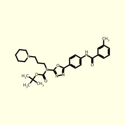 Cc1cccc(C(=O)Nc2ccc(-c3nnc(N(CCCN4CCCCC4)C(=O)OC(C)(C)C)o3)cc2)c1